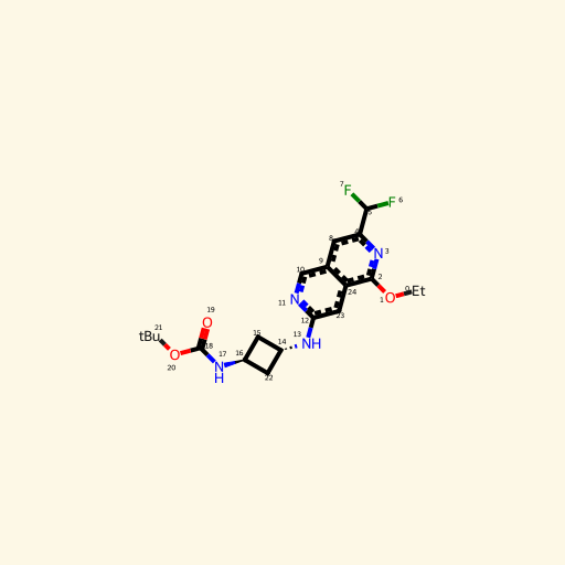 CCOc1nc(C(F)F)cc2cnc(N[C@H]3C[C@H](NC(=O)OC(C)(C)C)C3)cc12